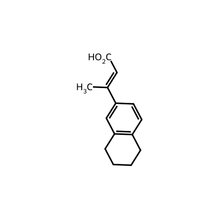 C/C(=C\C(=O)O)c1ccc2c(c1)CCCC2